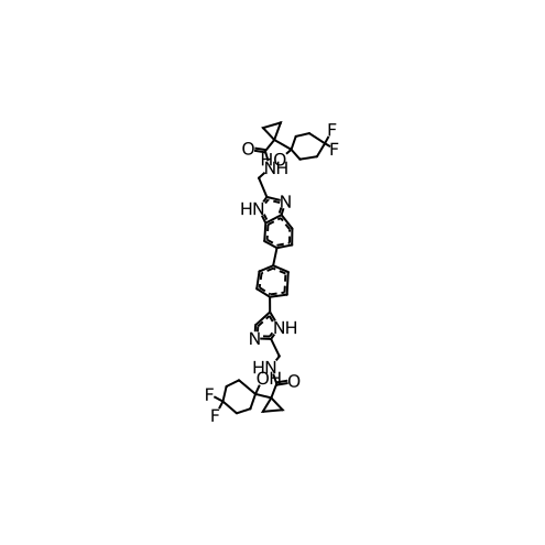 O=C(NCc1ncc(-c2ccc(-c3ccc4nc(CNC(=O)C5(C6(O)CCC(F)(F)CC6)CC5)[nH]c4c3)cc2)[nH]1)C1(C2(O)CCC(F)(F)CC2)CC1